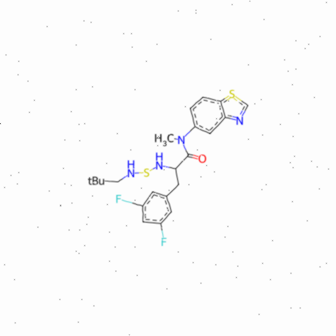 CN(C(=O)C(Cc1cc(F)cc(F)c1)NSNCC(C)(C)C)c1ccc2scnc2c1